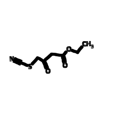 CCOC(=O)CC(=O)CSC#N